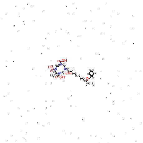 CCC(CCCCCCCCC(O)CN1CCN(C(=O)O)CCN(C(=O)O)CC(C)N(C(=O)O)CC1)OCc1ccccc1